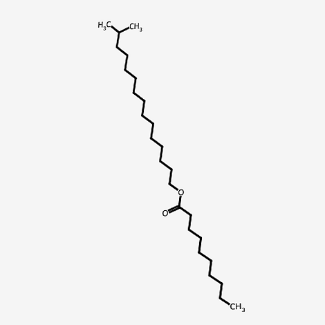 CCCCCCCCCC(=O)OCCCCCCCCCCCCCC(C)C